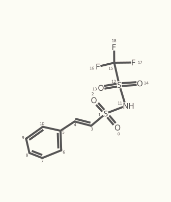 O=S(=O)(C=Cc1ccccc1)NS(=O)(=O)C(F)(F)F